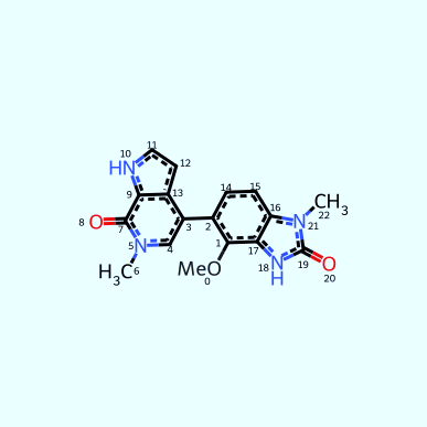 COc1c(-c2cn(C)c(=O)c3[nH]ccc23)ccc2c1[nH]c(=O)n2C